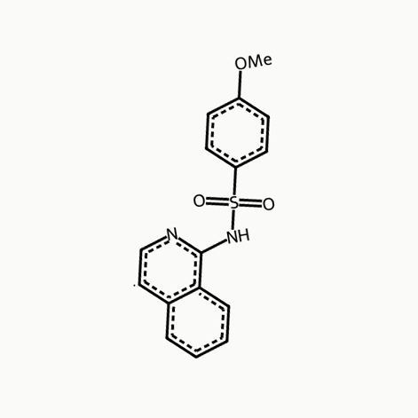 COc1ccc(S(=O)(=O)Nc2nc[c]c3ccccc23)cc1